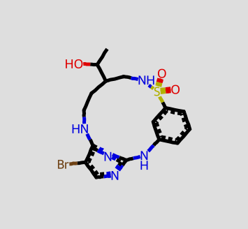 CC(O)C1CCNc2nc(ncc2Br)Nc2cccc(c2)S(=O)(=O)NC1